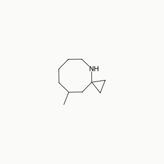 CC1CCCCNC2(CC2)C1